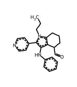 CCCn1c2c(c(Nc3ccccc3)c1-c1ccncc1)C(C=O)CCC2